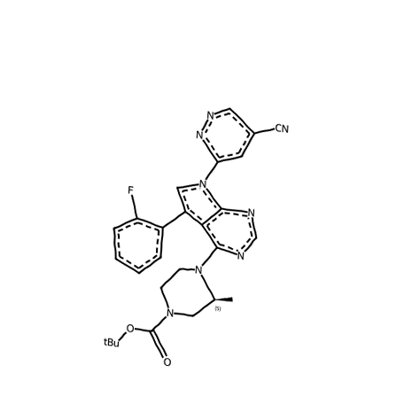 C[C@H]1CN(C(=O)OC(C)(C)C)CCN1c1ncnc2c1c(-c1ccccc1F)cn2-c1cc(C#N)cnn1